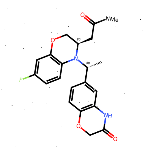 CNC(=O)C[C@@H]1COc2cc(F)ccc2N1[C@H](C)c1ccc2c(c1)NC(=O)CO2